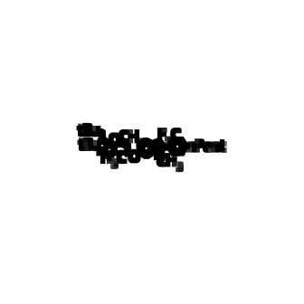 CCCCCc1ccc(-c2cc3ccc(OC(C)CC(C)(C)OC(=O)C(CC(C)(C)C)C(C)(C)C)cc3n2C)c(C(F)(F)F)c1